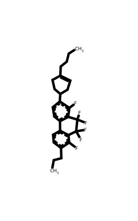 CCCCC1=CCC(c2ccc3c(c2F)C(F)(F)C(F)(F)c2c-3ccc(CCC)c2F)CC1